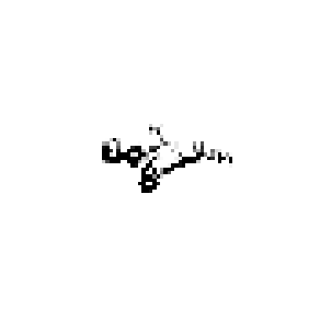 CC(C)N(C(=O)Cc1ccccc1OCCCCCC(=O)O)c1ccc(-c2ccco2)cc1